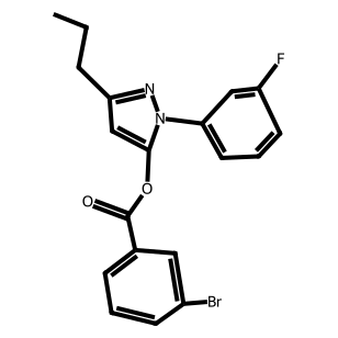 CCCc1cc(OC(=O)c2cccc(Br)c2)n(-c2cccc(F)c2)n1